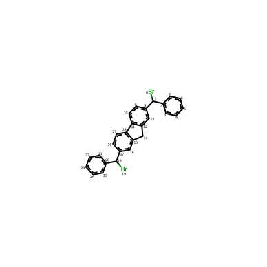 BrC(c1ccccc1)c1ccc2c(c1)Cc1cc(C(Br)c3ccccc3)ccc1-2